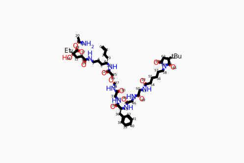 C=CCC[C@@H](CCCNC(=O)CC[C@@](O)(CC)C(=O)OC(C)N)NC(=O)COCNC(=O)CNC(=O)[C@H](Cc1ccccc1)NC(=O)CNC(=O)CNC(=O)CCCCCN1C(=O)CC(C(C)(C)C)C1=O